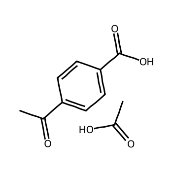 CC(=O)O.CC(=O)c1ccc(C(=O)O)cc1